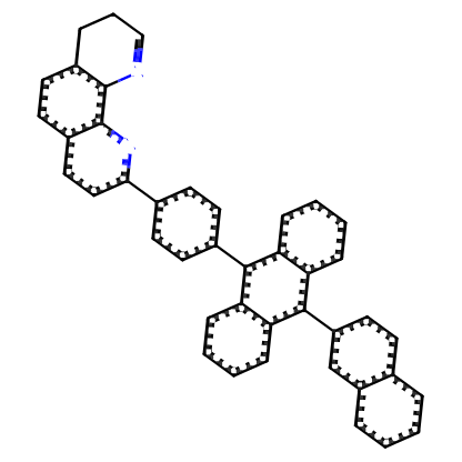 C1=Nc2c(ccc3ccc(-c4ccc(-c5c6ccccc6c(-c6ccc7ccccc7c6)c6ccccc56)cc4)nc23)CC1